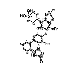 CCCc1c(Cc2ccc(-c3ccccc3-c3noc(=O)[nH]3)cc2F)c(=O)n(C2CCS(O)(O)CC2)c2nc(C)nn12